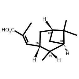 CC(=C[C@@H]1C[C@H]2C[C@H]([C@@H]1C)C2(C)C)C(=O)O